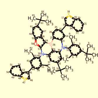 Cc1cc(C(C)(C)C)cc(C)c1N1c2cc(-c3csc4ccccc34)ccc2B2c3c1cc(C(C)(C)C)cc3N(c1c(C)cc(-c3csc4ccccc34)cc1C)c1oc3ccc(C(C)(C)C)cc3c12